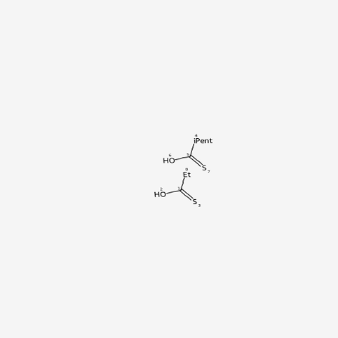 CCC(O)=S.CCCC(C)C(O)=S